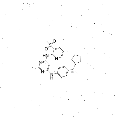 C[C@H](c1ccc(Nc2cc(Nc3ncccc3S(C)(=O)=O)ncn2)nc1)N1CCCC1